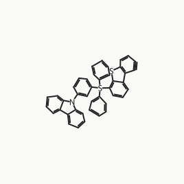 c1ccc2sc3c(S(c4ccccc4)(c4ccccc4)c4cccc(-n5c6ccccc6c6ccccc65)c4)cccc3c2c#1